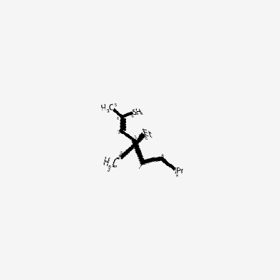 CCC(C)(/C=C(/C)S)CCC(C)C